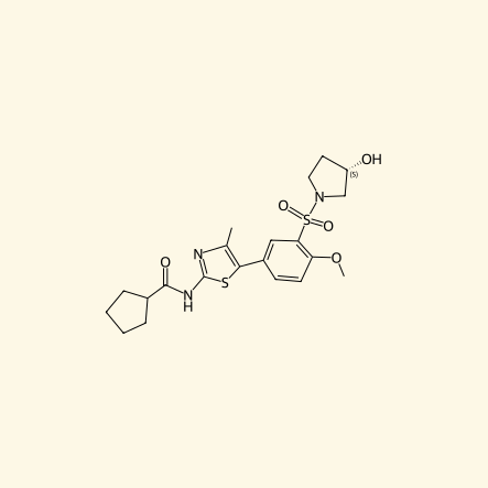 COc1ccc(-c2sc(NC(=O)C3CCCC3)nc2C)cc1S(=O)(=O)N1CC[C@H](O)C1